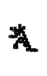 CCCCOc1nc(N)c2[nH]c(=O)n(CCCN(Cc3cccc(CC(=O)OC)c3)C3CCN(CCCC#N)CC3)c2n1